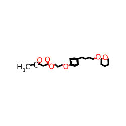 CCCC(=O)CC(=O)OCCCOc1ccc(CCCCOC2CCCCO2)cc1